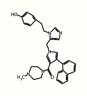 CN1CCN(C(=O)c2cn(Cc3cncn3CCc3ccc(O)cc3)cc2-c2cccc3ccccc23)CC1